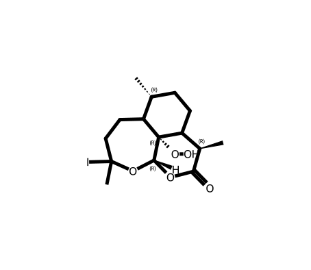 C[C@@H]1CCC2[C@@H](C)C(=O)O[C@@H]3OC(C)(I)CCC1[C@@]23OO